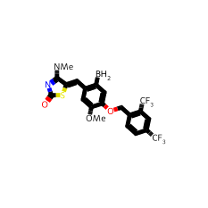 Bc1cc(OCc2ccc(C(F)(F)F)cc2C(F)(F)F)c(OC)cc1/C=C1\SC(=O)N=C1NC